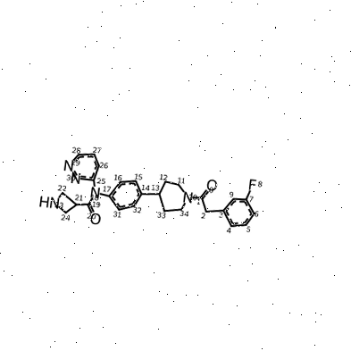 O=C(Cc1cccc(F)c1)N1CCC(c2ccc(N(C(=O)C3CNC3)c3cccnn3)cc2)CC1